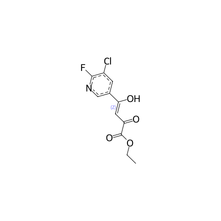 CCOC(=O)C(=O)/C=C(\O)c1cnc(F)c(Cl)c1